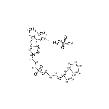 CC[N+](CC)(CC)Cc1cn(CCCS(=O)(=O)OCCCOc2ccc3ccccc3c2)nn1.CS(=O)(=O)O